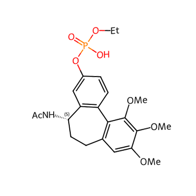 CCOP(=O)(O)Oc1ccc2c(c1)[C@@H](NC(C)=O)CCc1cc(OC)c(OC)c(OC)c1-2